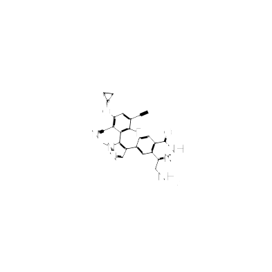 C#Cc1cc(O[C@@H]2C[C@H]2C)c(C#N)c(-c2c(-c3ccc4c(=O)[nH]nc(CN)c4c3)cnn2C)c1F